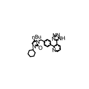 CCCCc1cn(C2CCCCC2)c(=O)n1Cc1ccc(-c2ncccc2-c2nnn[nH]2)cc1